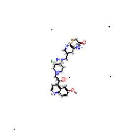 COc1ccc2nccc([C@@H](O)CN3CC[C@H](NCc4cnc5c(c4)NC(=O)CS5)[C@@H](F)C3)c2c1